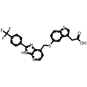 O=C(O)Cc1csc2ccc(SCc3ccnc4[nH]c(-c5ccc(C(F)(F)F)cc5)nc34)cc12